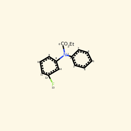 CCOC(=O)N(c1ccccc1)c1cccc(F)c1